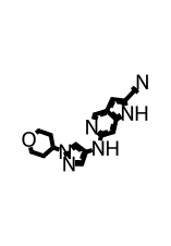 N#Cc1cc2cnc(Nc3cnn(C4CCOCC4)c3)cc2[nH]1